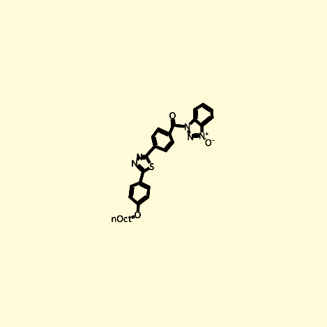 CCCCCCCCOc1ccc(-c2nnc(-c3ccc(C(=O)n4n[n+]([O-])c5ccccc54)cc3)s2)cc1